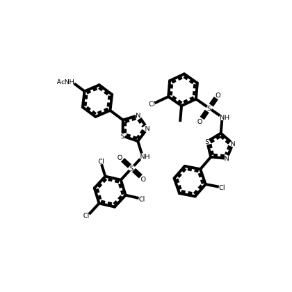 CC(=O)Nc1ccc(-c2nnc(NS(=O)(=O)c3c(Cl)cc(Cl)cc3Cl)s2)cc1.Cc1c(Cl)cccc1S(=O)(=O)Nc1nnc(-c2ccccc2Cl)s1